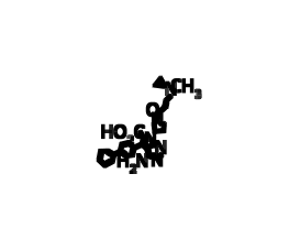 CN(C/C=C/C(=O)N1CC[C@@H](n2c(C(=O)O)c(-c3ccc(-c4ccccc4)cc3)c3c(N)ncnc32)C1)C1CC1